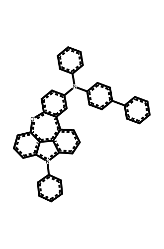 c1ccc(-c2ccc(N(c3ccccc3)c3ccc4oc5cccc6c5c5c(cccc5n6-c5ccccc5)c4c3)cc2)cc1